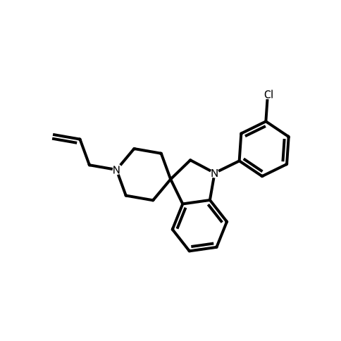 C=CCN1CCC2(CC1)CN(c1cccc(Cl)c1)c1ccccc12